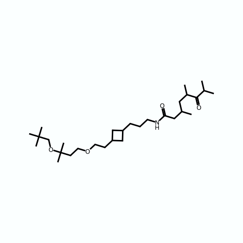 CC(CC(=O)NCCCC1CC(CCOCCC(C)(C)OCC(C)(C)C)C1)CC(C)C(=O)C(C)C